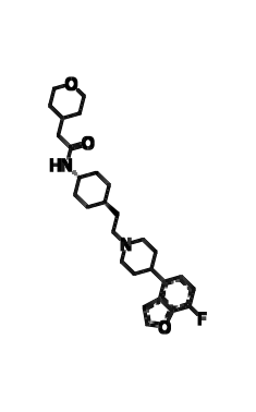 O=C(CC1CCOCC1)N[C@H]1CC[C@H](CCN2CCC(c3ccc(F)c4occc34)CC2)CC1